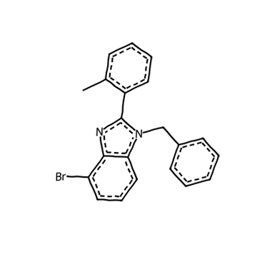 Cc1ccccc1-c1nc2c(Br)cccc2n1Cc1ccccc1